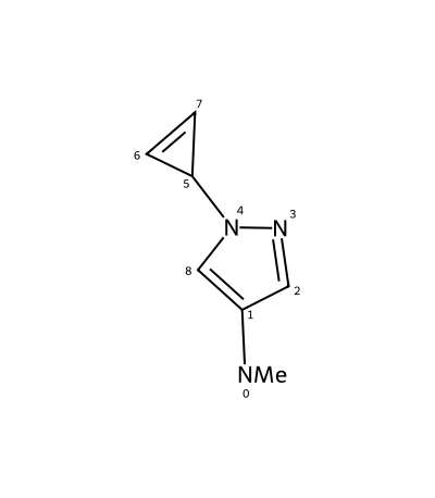 CNc1cnn(C2C=C2)c1